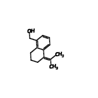 CC(C)=C1CCCc2c(CO)cccc21